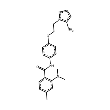 Cc1ccc(C(=O)Nc2ccc(OCCn3nccc3N)cc2)c(N(C)C)c1